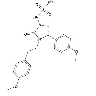 COc1ccc(CCN2C(=O)N(NS(N)(=O)=O)CC2c2ccc(OC)cc2)cc1